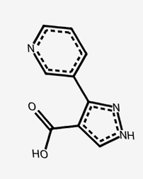 O=C(O)c1c[nH]nc1-c1cccnc1